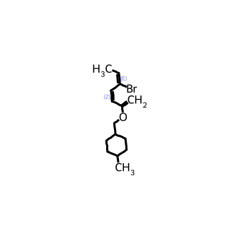 C=C(/C=C\C(Br)=C/C)OCC1CCC(C)CC1